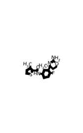 Cc1ccsc1C(=O)Nc1ccc(F)c([C@]2(C)CCOC(N)=N2)c1